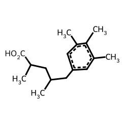 Cc1cc(CC(C)CC(C)C(=O)O)cc(C)c1C